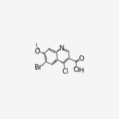 COc1cc2ncc(C(=O)O)c(Cl)c2cc1Br